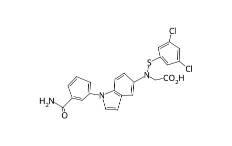 NC(=O)c1cccc(-n2ccc3cc(N(CC(=O)O)Sc4cc(Cl)cc(Cl)c4)ccc32)c1